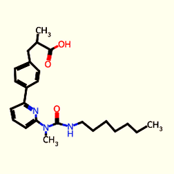 CCCCCCCNC(=O)N(C)c1cccc(-c2ccc(CC(C)C(=O)O)cc2)n1